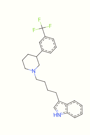 FC(F)(F)c1cccc(C2CCCN(CCCCc3c[nH]c4ccccc34)C2)c1